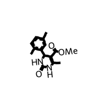 COC(=O)C1=C(C)NC(=O)NC1c1cc(C)ccc1C